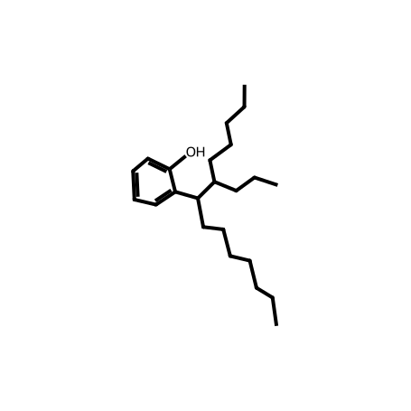 CCCCCCCC(c1ccccc1O)C(CCC)CCCCC